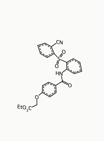 CCOC(=O)COc1ccc(C(=O)Nc2ccccc2S(=O)(=O)c2ccccc2C#N)cc1